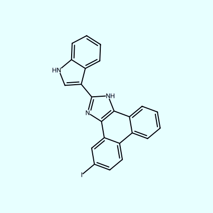 Ic1ccc2c3ccccc3c3[nH]c(-c4c[nH]c5ccccc45)nc3c2c1